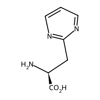 N[C@@H](Cc1ncccn1)C(=O)O